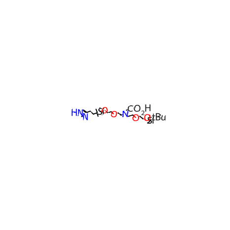 CC(C)(C)[Si](C)(C)OCCOCCN(CCOCCO[Si](C)(C)C(C)(C)CCc1c[nH]cn1)CC(=O)O